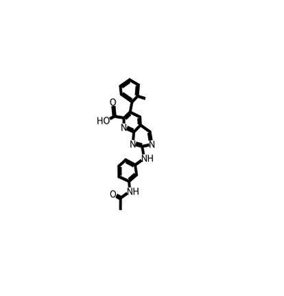 CC(=O)Nc1cccc(Nc2ncc3cc(-c4ccccc4C)c(C(=O)O)nc3n2)c1